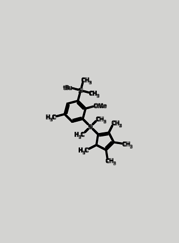 COc1c([Si](C)(C)C2=C(C)C(C)=C(C)C2C)cc(C)cc1[Si](C)(C)C(C)(C)C